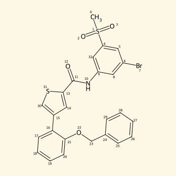 CS(=O)(=O)c1cc(Br)cc(NC(=O)c2cc(-c3ccccc3OCc3ccccc3)cs2)c1